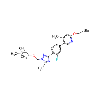 Cc1cc(OCC(C)(C)C)ncc1-c1ccc(-c2nc(C(F)(F)F)n(COCC[Si](C)(C)C)n2)c(F)c1